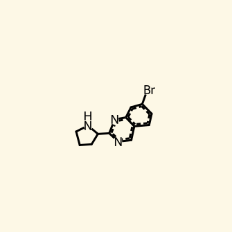 Brc1ccc2cnc(C3CCCN3)nc2c1